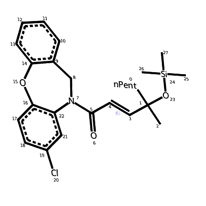 CCCCCC(C)(/C=C/C(=O)N1Cc2ccccc2Oc2ccc(Cl)cc21)O[Si](C)(C)C